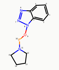 c1ccc2c(c1)nnn2O[P]N1CCCC1